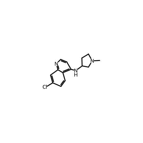 CN1CCC(Nc2ccnc3cc(Cl)ccc23)C1